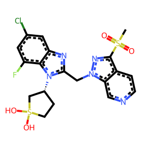 CS(=O)(=O)c1nn(Cc2nc3cc(Cl)cc(F)c3n2[C@@H]2CCS(O)(O)C2)c2cnccc12